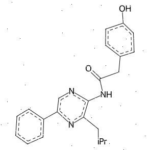 CC(C)Cc1nc(-c2ccccc2)cnc1NC(=O)Cc1ccc(O)cc1